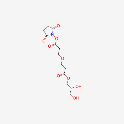 O=C(CCOCCC(=O)ON1C(=O)CCC1=O)OCC(O)CO